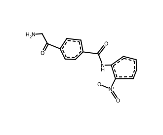 NCC(=O)c1ccc(C(=O)Nc2ccccc2[N+](=O)[O-])cc1